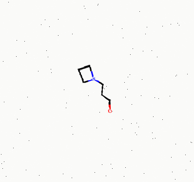 [O]CCCN1CCC1